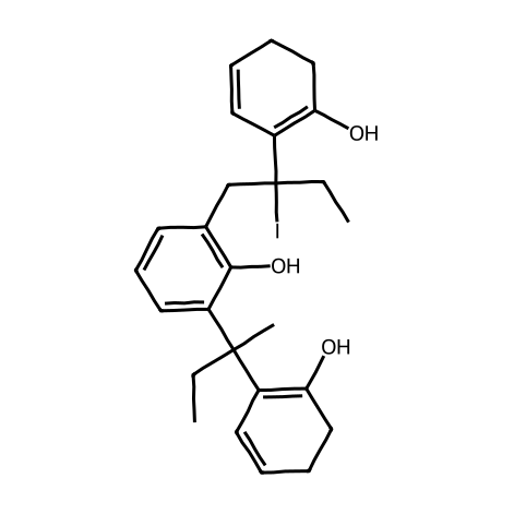 CCC(I)(Cc1cccc(C(C)(CC)C2=C(O)CCC=C2)c1O)C1=C(O)CCC=C1